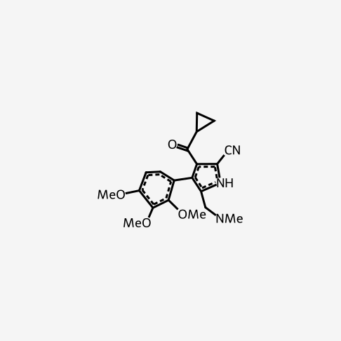 CNCc1[nH]c(C#N)c(C(=O)C2CC2)c1-c1ccc(OC)c(OC)c1OC